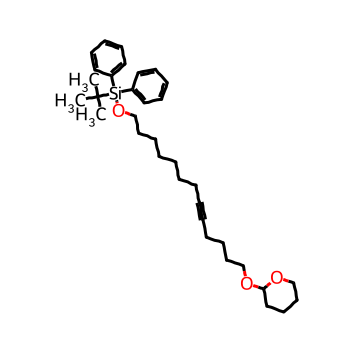 CC(C)(C)[Si](OCCCCCCCC#CCCCCOC1CCCCO1)(c1ccccc1)c1ccccc1